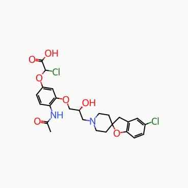 CC(=O)Nc1ccc(OC(Cl)C(=O)O)cc1OC[C@@H](O)CN1CCC2(CC1)Cc1cc(Cl)ccc1O2